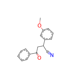 COc1cccc(C(C#N)CC(=O)c2ccccc2)c1